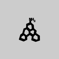 Nc1cc2c3c(c4ccccc4cc3c1)-c1ccccc1C2